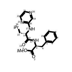 COC(=O)[C@H](Cc1ccccc1)NC(=O)[C@H](CC(C)C)Nc1cnccn1